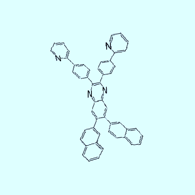 c1ccc(-c2ccc(-c3nc4cc(-c5ccc6ccccc6c5)c(-c5ccc6ccccc6c5)cc4nc3-c3ccc(-c4ccccn4)cc3)cc2)nc1